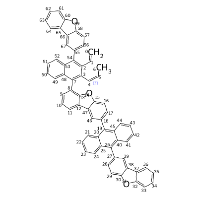 C=Cc1c(/C=C\C)c(-c2cccc3c2oc2ccc(-c4c5ccccc5c(-c5ccc6oc7ccccc7c6c5)c5ccccc45)cc23)c2ccccc2c1-c1ccc2oc3ccccc3c2c1